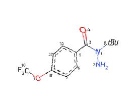 CC(C)(C)N(N)C(=O)c1ccc(OC(F)(F)F)cc1